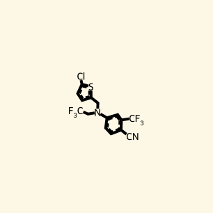 N#Cc1ccc(N(Cc2ccc(Cl)s2)CC(F)(F)F)cc1C(F)(F)F